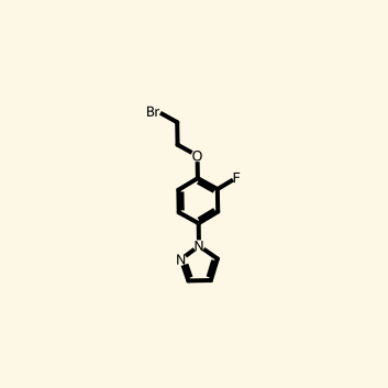 Fc1cc(-n2cccn2)ccc1OCCBr